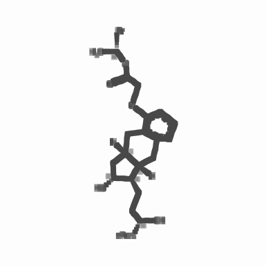 CCCCC[C@@H](O)CC[C@@H]1[C@H]2Cc3cccc(OCC(=O)O[C@H](C)C(C)C)c3C[C@H]2C[C@H]1O